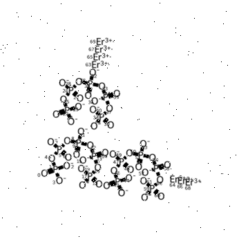 O=P([O-])([O-])OP(=O)([O-])OP(=O)([O-])OP(=O)([O-])OP(=O)([O-])[O-].O=P([O-])([O-])OP(=O)([O-])OP(=O)([O-])OP(=O)([O-])OP(=O)([O-])[O-].O=P([O-])([O-])OP(=O)([O-])OP(=O)([O-])OP(=O)([O-])OP(=O)([O-])[O-].[Er+3].[Er+3].[Er+3].[Er+3].[Er+3].[Er+3].[Er+3]